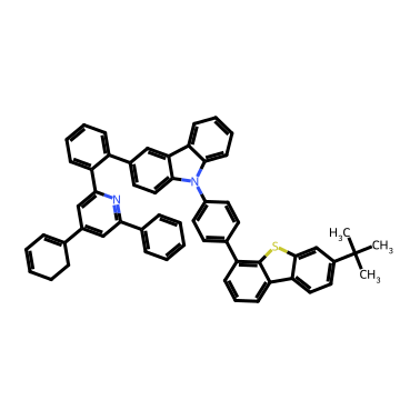 CC(C)(C)c1ccc2c(c1)sc1c(-c3ccc(-n4c5ccccc5c5cc(-c6ccccc6-c6cc(C7=CC=CCC7)cc(-c7ccccc7)n6)ccc54)cc3)cccc12